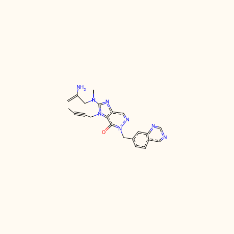 C=C(N)CN(C)c1nc2cnn(Cc3ccc4cncnc4c3)c(=O)c2n1CC#CC